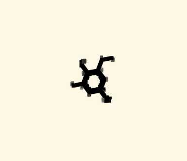 CCc1cc(Br)cc(C)c1I